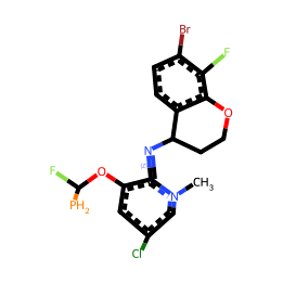 Cn1cc(Cl)cc(OC(F)P)/c1=N/C1CCOc2c1ccc(Br)c2F